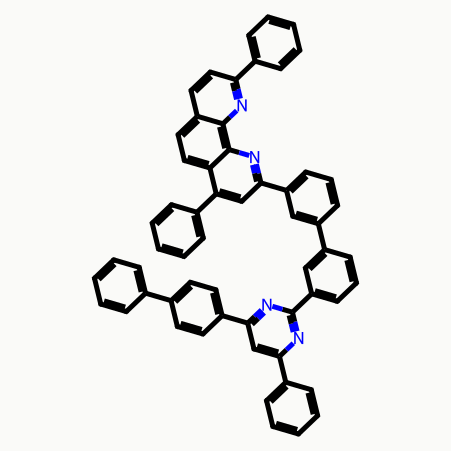 c1ccc(-c2ccc(-c3cc(-c4ccccc4)nc(-c4cccc(-c5cccc(-c6cc(-c7ccccc7)c7ccc8ccc(-c9ccccc9)nc8c7n6)c5)c4)n3)cc2)cc1